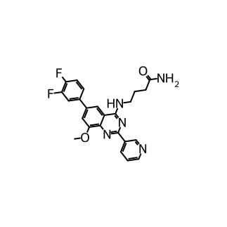 COc1cc(-c2ccc(F)c(F)c2)cc2c(NCCCC(N)=O)nc(-c3cccnc3)nc12